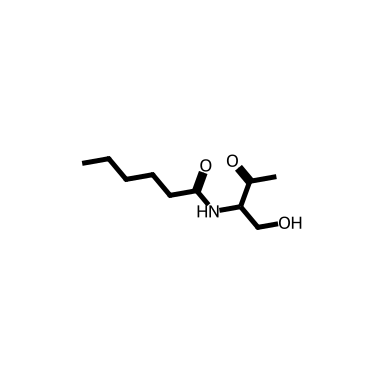 CCCCCC(=O)NC(CO)C(C)=O